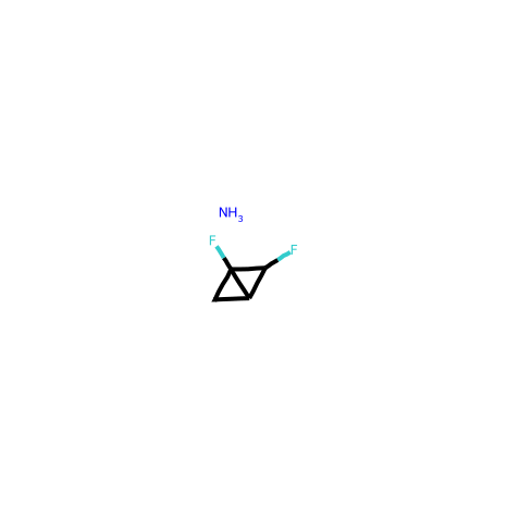 FC1C2CC12F.N